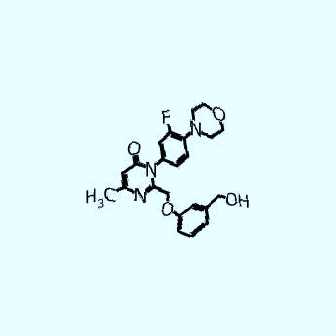 Cc1cc(=O)n(-c2ccc(N3CCOCC3)c(F)c2)c(COc2cccc(CO)c2)n1